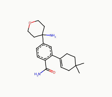 CC1(C)CC=C(c2cc(C3(N)CCOCC3)ccc2C(N)=O)CC1